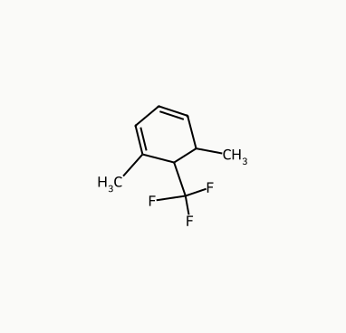 CC1=CC=CC(C)C1C(F)(F)F